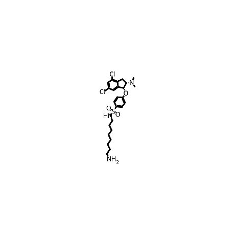 CN(C)[C@H]1Cc2c(Cl)cc(Cl)cc2[C@@H]1Oc1ccc(S(=O)(=O)NCCCCCCCCN)cc1